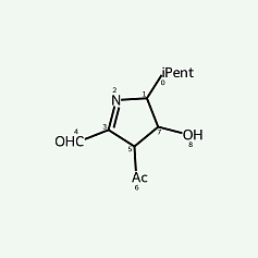 CCCC(C)C1N=C(C=O)C(C(C)=O)C1O